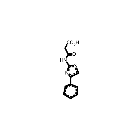 O=C(O)CC(=O)Nc1nc(-c2ccccc2)cs1